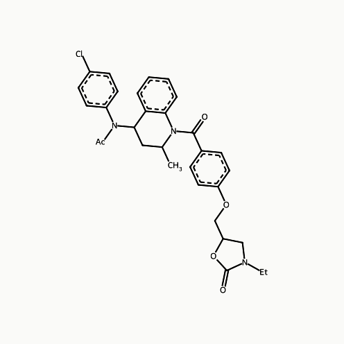 CCN1CC(COc2ccc(C(=O)N3c4ccccc4C(N(C(C)=O)c4ccc(Cl)cc4)CC3C)cc2)OC1=O